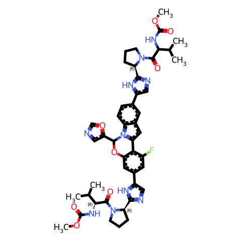 COC(=O)NC(C(=O)N1CCC[C@@H]1c1ncc(-c2ccc3c(c2)cc2n3C(c3cnco3)Oc3cc(-c4cnc([C@H]5CCCN5C(=O)[C@H](NC(=O)OC)C(C)C)[nH]4)cc(F)c3-2)[nH]1)C(C)C